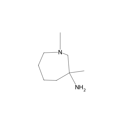 CN1CCCCC(C)(N)C1